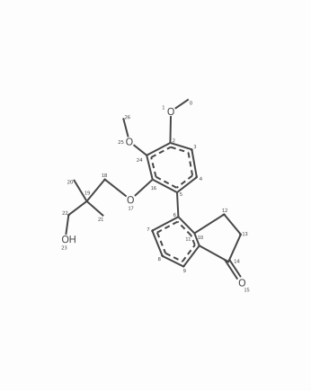 COc1ccc(-c2cccc3c2CCC3=O)c(OCC(C)(C)CO)c1OC